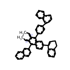 C/C=c1/c(-c2ccc3ccccc3c2)c2ccc(C3=CCCc4ccccc43)cc2c(-c2ccc(-c3cccc4ccccc34)cc2)/c1=C/C